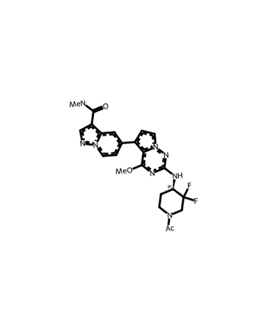 CNC(=O)c1cnn2ccc(-c3ccn4nc(N[C@@H]5CCN(C(C)=O)CC5(F)F)nc(OC)c34)cc12